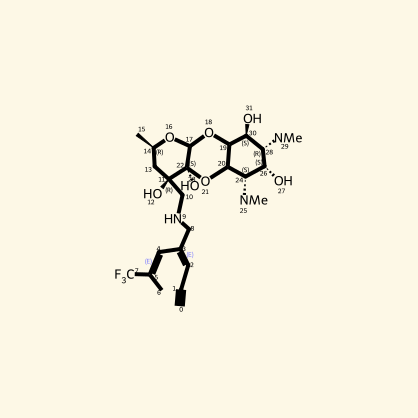 C#C/C=C(\C=C(/C)C(F)(F)F)CNC[C@]1(O)C[C@@H](C)OC2OC3C(O[C@]21O)[C@@H](NC)[C@@H](O)[C@@H](NC)[C@@H]3O